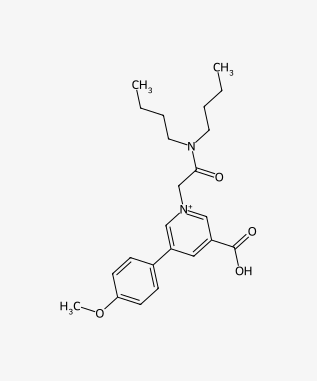 CCCCN(CCCC)C(=O)C[n+]1cc(C(=O)O)cc(-c2ccc(OC)cc2)c1